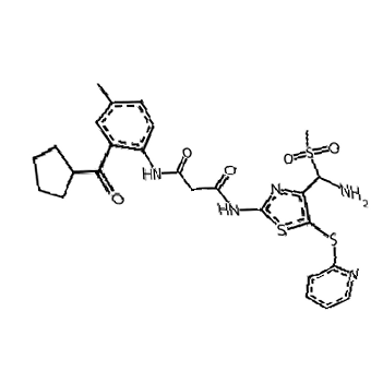 Cc1ccc(NC(=O)CC(=O)Nc2nc(C(N)S(C)(=O)=O)c(Sc3ccccn3)s2)c(C(=O)C2CCCC2)c1